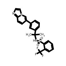 CC(C)(NS(=O)(=O)c1ccccc1C(F)(F)F)c1cccc(-c2ccc3nccn3c2)c1